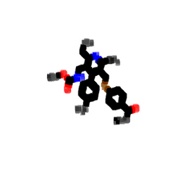 COC(=O)c1ccc(SCc2c(C)nc(CC(C)(C)C)c(CNC(=O)OC(C)(C)C)c2-c2ccc(C)cc2)cc1